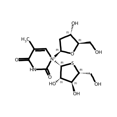 CC1=C[N+]([C@@H]2S[C@H](CO)[C@@H](O)[C@@H]2O)([C@H]2C[C@H](O)[C@@H](CO)O2)C(=O)NC1=O